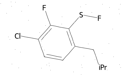 CC(C)Cc1ccc(Cl)c(F)c1SF